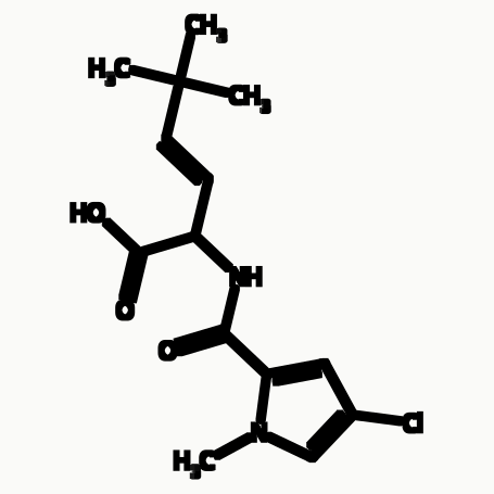 Cn1cc(Cl)cc1C(=O)NC(C=CC(C)(C)C)C(=O)O